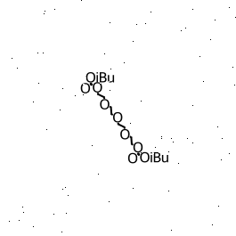 CC(C)COC(=O)OCCOCCOCCOCCOC(=O)OCC(C)C